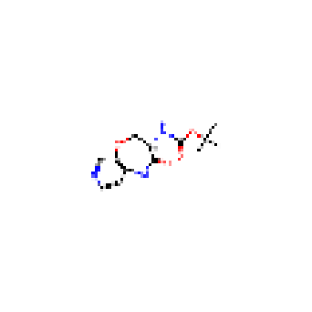 CC(C)(C)OC(=O)N[C@H]1COc2cnccc2NC1=O